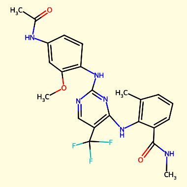 CNC(=O)c1cccc(C)c1Nc1nc(Nc2ccc(NC(C)=O)cc2OC)ncc1C(F)(F)F